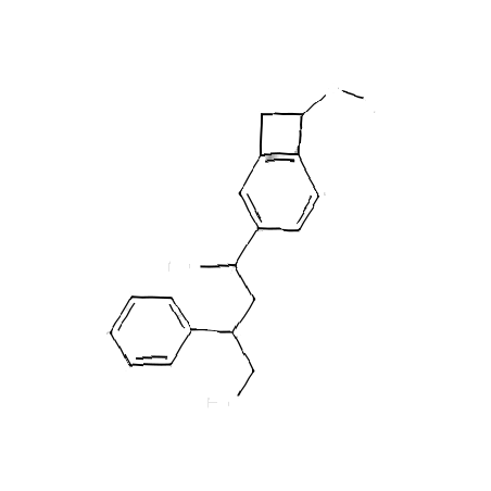 CCC(CC(C)c1ccc2c(c1)CC2OC)c1ccccc1